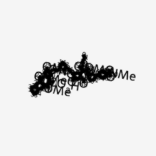 C=CCOC(=O)N1c2cc(OCc3cccc(COc4cc5c(cc4OC)C(=O)N4Cc6ccccc6C[C@H]4C(OC)N5C(=O)O)n3)c(OC)cc2C(=O)N2CC=C(c3ccc(S(=O)(=O)NC)cc3)C[C@H]2C1OC